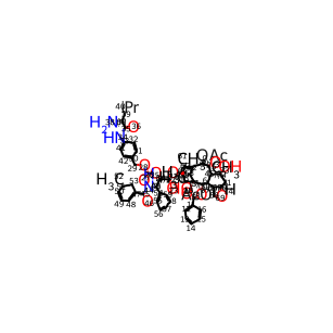 CC(=O)O[C@H]1C(=O)[C@@]2(C)C([C@H](OC(=O)c3ccccc3)[C@]3(O)C[C@H](OC(=O)[C@H](OC(=O)OCc4ccc(NC(=O)[C@H](N)CC(C)C)cc4)[C@@H](NC(=O)C4=CC=CC(C)C4)c4ccccc4)C(C)=C1C3(C)C)[C@]1(OC(C)=O)CO[C@@H]1C[C@@H]2O